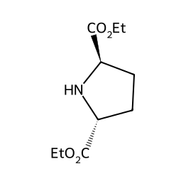 CCOC(=O)[C@H]1CC[C@H](C(=O)OCC)N1